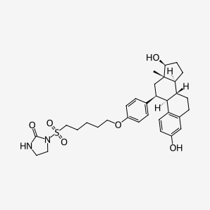 C[C@]12C[C@H](c3ccc(OCCCCCS(=O)(=O)N4CCNC4=O)cc3)[C@@H]3c4ccc(O)cc4CC[C@H]3[C@@H]1CC[C@@H]2O